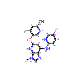 Cc1cc(C#N)ncc1Oc1cc(Nc2ccc(I)cn2)c2ncn(C)c2n1